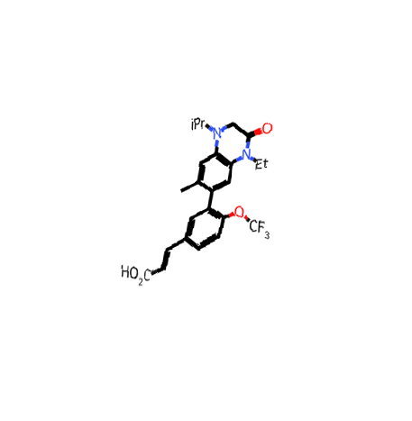 CCN1C(=O)CN(C(C)C)c2cc(C)c(-c3cc(/C=C/C(=O)O)ccc3OC(F)(F)F)cc21